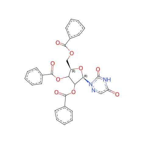 O=C(OC[C@H]1O[C@@H](n2ncc(=O)[nH]c2=O)C(OC(=O)c2ccccc2)C1OC(=O)c1ccccc1)c1ccccc1